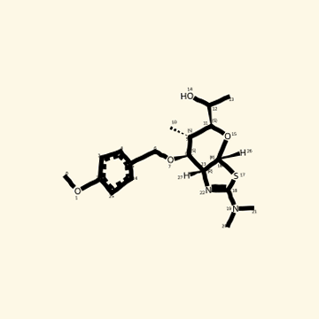 COc1ccc(CO[C@H]2[C@H](C)[C@@H](C(C)O)O[C@@H]3SC(N(C)C)=N[C@H]23)cc1